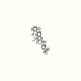 CC[C@@H](C)n1c(=O)c(N[C@H](C)c2ccc(S(=O)(=O)CC)cn2)nc2cnc(-c3c(OC)ncnc3C3CC3)nc21